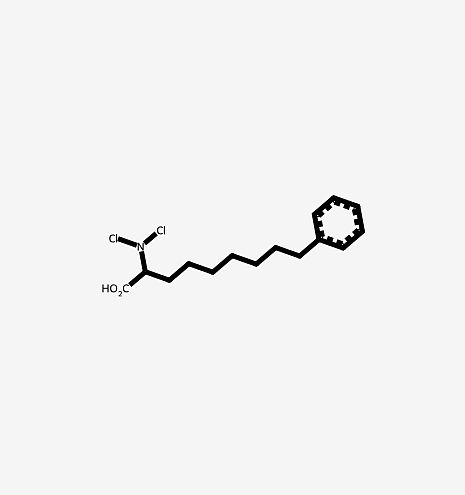 O=C(O)C(CCCCCCCc1ccccc1)N(Cl)Cl